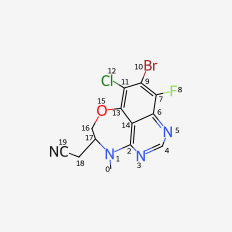 CN1c2ncnc3c(F)c(Br)c(Cl)c(c23)OCC1CC#N